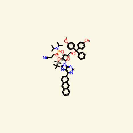 COc1ccc(C(OC[C@H]2O[C@@H](n3cnc4c(-c5ccc6cc7ccccc7cc6c5)ncnc43)[C@H](O[Si](C)(C)C(C)(C)C)[C@@H]2OP(OCCC#N)N(C(C)C)C(C)C)(c2ccccc2)c2ccc(OC)cc2)cc1